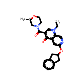 CCn1cc(C(=O)N2CCO[C@H](C)C2)c(=O)c2cc(OC3Cc4ccccc4C3)ncc21